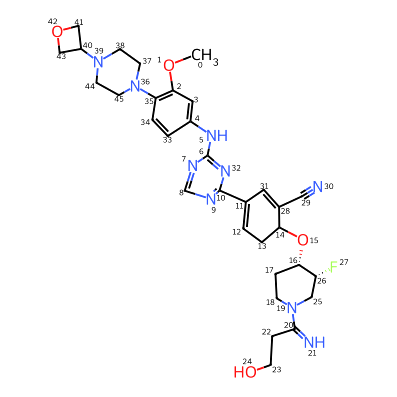 COc1cc(Nc2ncnc(C3=CCC(O[C@H]4CCN(C(=N)CCO)C[C@H]4F)C(C#N)=C3)n2)ccc1N1CCN(C2COC2)CC1